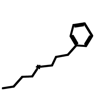 CCCC[N]CCCc1ccccc1